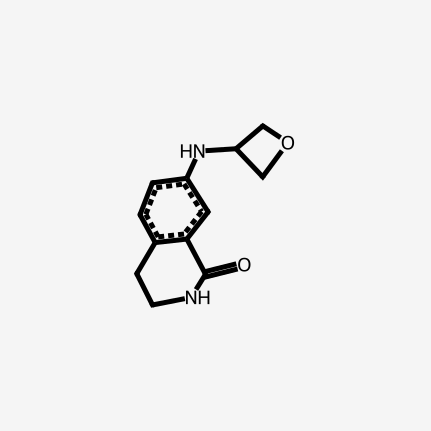 O=C1NCCc2ccc(NC3COC3)cc21